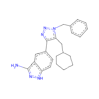 Nc1n[nH]c2ccc(-c3nnn(Cc4ccccc4)c3CC3CCCCC3)cc12